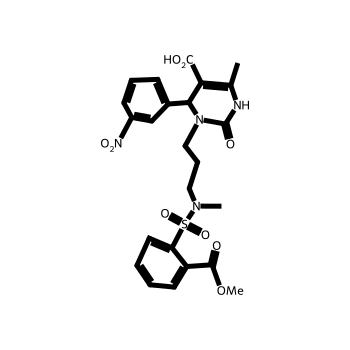 COC(=O)c1ccccc1S(=O)(=O)N(C)CCCN1C(=O)NC(C)=C(C(=O)O)C1c1cccc([N+](=O)[O-])c1